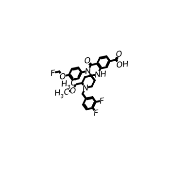 COC(C)C1CC2(CCN1Cc1ccc(F)c(F)c1)Nc1cc(C(=O)O)ccc1C(=O)N2c1ccc(OCF)cc1